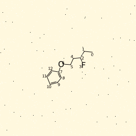 CCC(F)CCOc1ccccc1